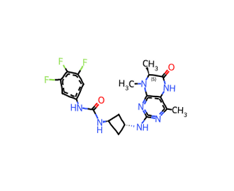 Cc1nc(N[C@H]2C[C@H](NC(=O)Nc3cc(F)c(F)c(F)c3)C2)nc2c1NC(=O)[C@H](C)N2C